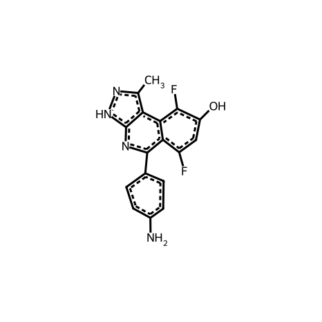 Cc1n[nH]c2nc(-c3ccc(N)cc3)c3c(F)cc(O)c(F)c3c12